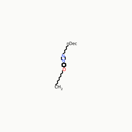 C=CCCCCCCCCOc1ccc(N2CCN(CCCCCCCCCCCCCCCC)CC2)cc1